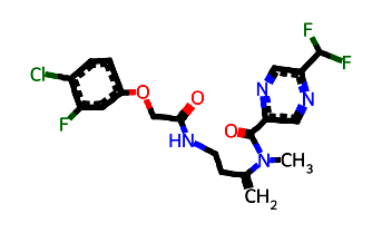 C=C(CCNC(=O)COc1ccc(Cl)c(F)c1)N(C)C(=O)c1cnc(C(F)F)cn1